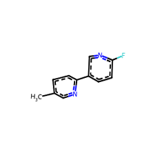 Cc1ccc(-c2ccc(F)nc2)nc1